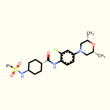 CC(C)S(=O)(=O)N[C@H]1CC[C@H](C(=O)Nc2ccc(N3C[C@@H](C)O[C@@H](C)C3)cc2F)CC1